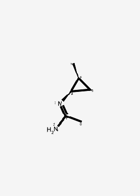 C/C(N)=N\[C@@H]1C[C@@H]1C